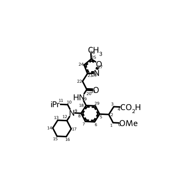 COCC(CC(=O)O)c1ccc(N(CC(C)C)C2CCCCC2)c(NC(=O)Cc2cc(C)on2)c1